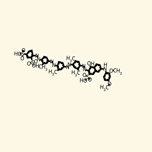 COc1ccc(Nc2ccc3c(O)c(N=Nc4cc(C)c(N=Nc5ccc(N=Nc6ccc(N=Nc7ccc(S(=O)(=O)O)cc7S(=O)(=O)O)c(C)c6)c(C)c5)cc4C)c(S(=O)(=O)O)cc3c2)c(OC)c1